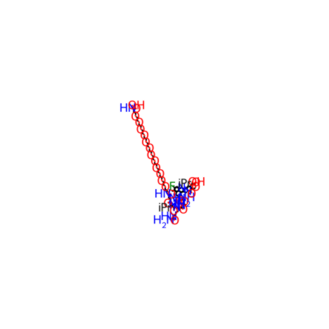 Cc1c(F)cc2nc3c(c4c2c1CC[C@@H]4NC(=O)OC(C)NC(=O)[C@H](CCCNC(N)=O)NC(=O)[C@@H](NC(=O)[C@@H](N)CC(=O)NCCOCCOCCOCCOCCOCCOCCOCCOCCOCCOCCOCCOCCC(=O)NO)C(C)C)Cn1c-3cc2c(c1=O)COC(=O)[C@]2(O)C(C)C